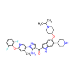 Cc1cc(Oc2c(F)cccc2F)ncc1-n1ncc(C(=O)c2cc3cc(OC4CCN(C(C)C)CC4)c(C4CCNCC4)cc3[nH]2)c1N